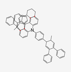 CC1C=C(c2ccccc2)C(c2ccccc2)=CC1c1ccc(N(c2ccccc2C2=c3c(C4CCCCC4)cccc3=CCC2)c2cccc3c2-c2ccccc2C3(C)c2ccccc2)cc1